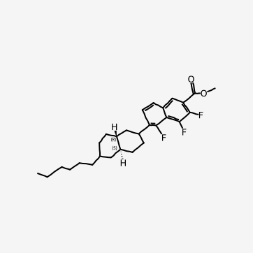 CCCCCCC1CC[C@@H]2CC(c3ccc4cc(C(=O)OC)c(F)c(F)c4c3F)CC[C@H]2C1